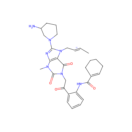 C/C=C/Cn1c(N2CCCC(N)C2)nc2c1c(=O)n(CC(=O)c1ccccc1NC(=O)C1=CCCCC1)c(=O)n2C